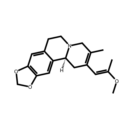 CO/C(C)=C/C1=C(C)CN2CCc3cc4c(cc3[C@@H]2C1)OCO4